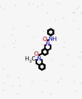 C[C@@H]1Cc2ccccc2CN1C(=O)c1ccc2c(c1)CN(C(=O)Nc1ccccc1)CC2